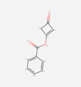 O=C1C=C(OC(=O)c2ccccc2)C1